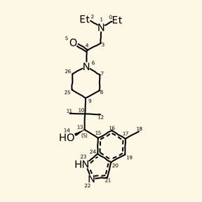 CCN(CC)CC(=O)N1CCC(C(C)(C)[C@H](O)c2cc(C)cc3cn[nH]c23)CC1